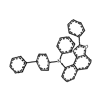 c1ccc(-c2ccc(N(c3ccccc3)c3cccc4ccc5oc(-c6ccccc6)nc5c34)cc2)cc1